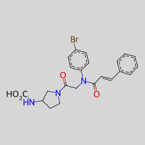 O=C(O)NC1CCN(C(=O)CN(C(=O)/C=C/c2ccccc2)c2ccc(Br)cc2)C1